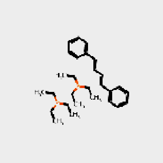 C(C=Cc1ccccc1)=Cc1ccccc1.CCP(CC)CC.CCP(CC)CC